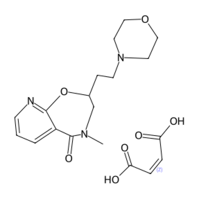 CN1CC(CCN2CCOCC2)Oc2ncccc2C1=O.O=C(O)/C=C\C(=O)O